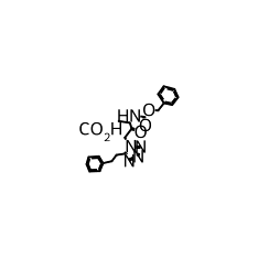 O=C(O)CC(NC(=O)OCc1ccccc1)C(=O)Cn1nnnc1CCc1ccccc1